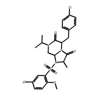 COc1ccc(Cl)cc1S(=O)(=O)N1C(C)C(=O)N2C(Cc3ccc(Cl)cc3)C(=O)N(C(C)C)CC21